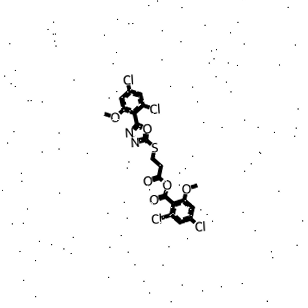 COc1cc(Cl)cc(Cl)c1C(=O)OC(=O)CCSc1nnc(-c2c(Cl)cc(Cl)cc2OC)o1